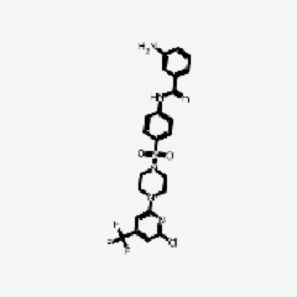 Nc1cccc(C(=O)Nc2ccc(S(=O)(=O)N3CCN(c4cc(C(F)(F)F)cc(Cl)n4)CC3)cc2)c1